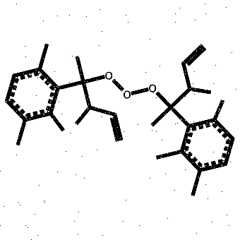 C=CC(C)C(C)(OOOC(C)(c1c(C)ccc(C)c1C)C(C)C=C)c1c(C)ccc(C)c1C